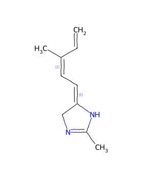 C=C/C(C)=C\C=C1/CN=C(C)N1